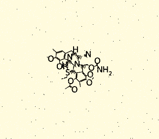 CCS[C@@H]1c2c(OC(C)=O)c(C)c3c(c2[C@H](COC(N)=O)N2C1[C@@H]1c4c(cc(C)c(OC)c4O)C[C@H]([C@@H]2C#N)N1C)OCO3